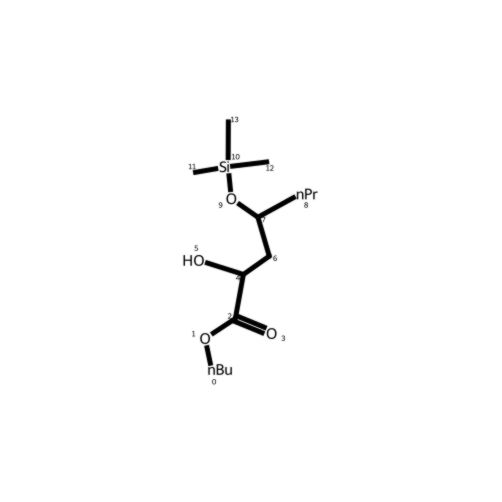 CCCCOC(=O)C(O)CC(CCC)O[Si](C)(C)C